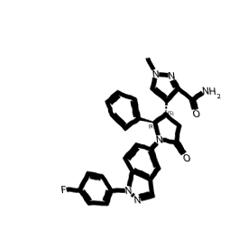 Cn1cc([C@@H]2CC(=O)N(c3ccc4c(cnn4-c4ccc(F)cc4)c3)[C@H]2c2ccccc2)c(C(N)=O)n1